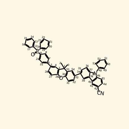 CC1(C)c2cc(-c3ccc(P(=O)(c4ccccc4)c4ccccc4)cc3)ccc2Oc2ccc(-c3ccc4c(c3)c3cc(C#N)ccc3n4-c3ccccc3)cc21